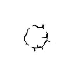 CC1=C/C(O)=C(\C)C(=O)OC(C)C/C=C/CC/C=C/C(=O)C\C=C\1Cl